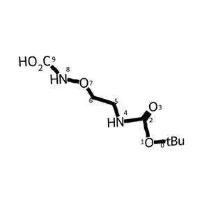 CC(C)(C)OC(=O)NCCONC(=O)O